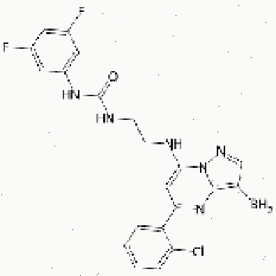 Bc1cnn2c(NCCNC(=O)Nc3cc(F)cc(F)c3)cc(-c3ccccc3Cl)nc12